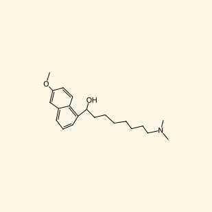 COc1ccc2c(C(O)CCCCCCCN(C)C)cccc2c1